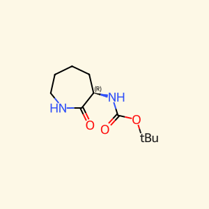 CC(C)(C)OC(=O)N[C@@H]1CCCCNC1=O